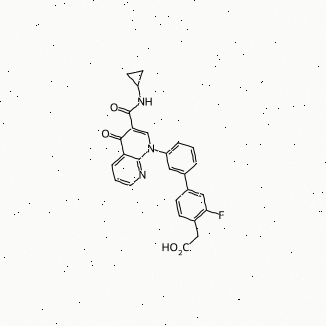 O=C(O)Cc1ccc(-c2cccc(-n3cc(C(=O)NC4CC4)c(=O)c4cccnc43)c2)cc1F